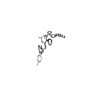 CC1CCC(n2cnc(/C=C3\C[C@@H](C)CN(C(=O)OC(C)(C)C)C3=O)c2)CC1